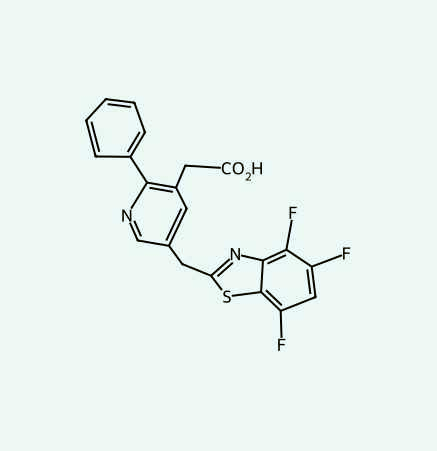 O=C(O)Cc1cc(Cc2nc3c(F)c(F)cc(F)c3s2)cnc1-c1ccccc1